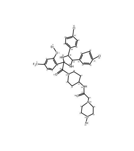 CCOc1cc(C(F)(F)F)ccc1C1(C(=O)N2CCC(NC(=O)CN3CCN(C(C)=O)CC3)CC2)NC(c2ccc(Cl)cc2)C(c2ccc(Cl)cc2)N1